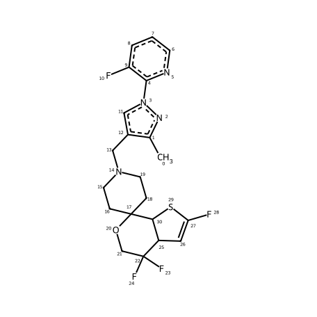 Cc1nn(-c2ncccc2F)cc1CN1CCC2(CC1)OCC(F)(F)C1C=C(F)SC12